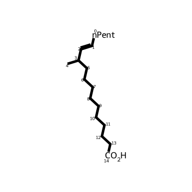 CCCCCC=CC(C)CCCCCCCCCC(=O)O